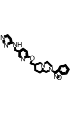 c1ccc2c(N3CCN4CC(COc5ccc(CNc6ccncn6)cn5)CCC4C3)noc2c1